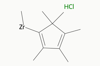 Cl.[CH3][Zr][C]1=C(C)C(C)=C(C)C1(C)C